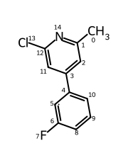 Cc1cc(-c2[c]c(F)ccc2)cc(Cl)n1